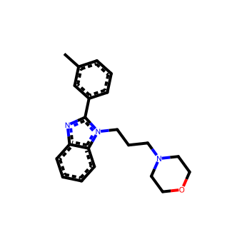 Cc1cccc(-c2nc3ccccc3n2CCCN2CCOCC2)c1